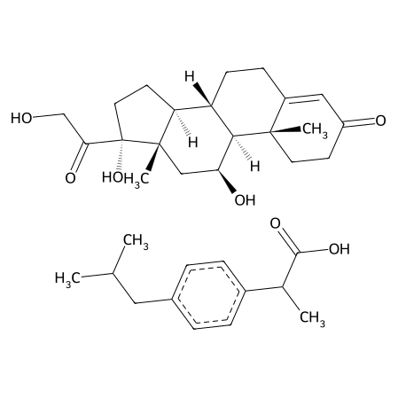 CC(C)Cc1ccc(C(C)C(=O)O)cc1.C[C@]12CCC(=O)C=C1CC[C@@H]1[C@@H]2[C@@H](O)C[C@@]2(C)[C@H]1CC[C@]2(O)C(=O)CO